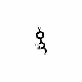 O=CC1CC(c2ccc(Cl)cc2)NN1